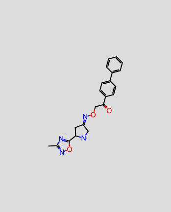 Cc1noc(C2CC(=NOCC(=O)c3ccc(-c4ccccc4)cc3)C[N]2)n1